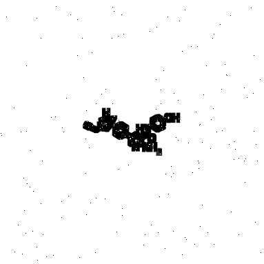 C#CCN1C[C@@H]2C[C@]2(c2ccc(-c3cnc(N)c(C(=O)N[C@H]4CC[C@H](O)CC4)c3)cc2)C1